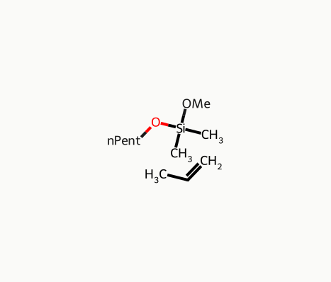 C=CC.CCCCCO[Si](C)(C)OC